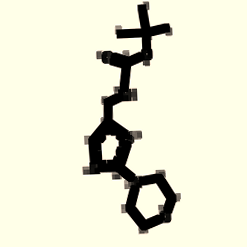 CC(C)(C)OC(=O)NCc1cnc(N2CCOCC2)s1